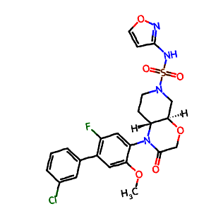 COc1cc(-c2cccc(Cl)c2)c(F)cc1N1C(=O)CO[C@@H]2CN(S(=O)(=O)Nc3ccon3)CC[C@H]21